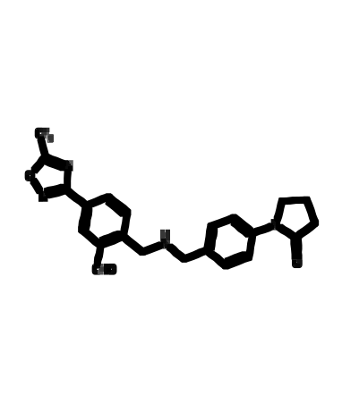 O=Cc1cc(-c2noc(C(F)(F)F)n2)ccc1CNCc1ccc(N2CCCC2=O)cc1